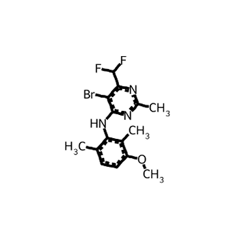 COc1ccc(C)c(Nc2nc(C)nc(C(F)F)c2Br)c1C